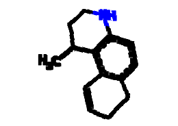 CC1CCNc2ccc3c(c21)C=CCC3